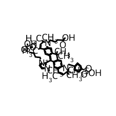 CC1=CC(C)(C)N(Cc2ccc(S(=O)(=O)O)cc2)c2cc3c(cc21)C(c1n(C)cc[n+]1CCCCS(=O)(=O)O)=c1cc2c(cc1C3(C)C)=[N+](CCCC(=O)O)C(C)(C)C=C2C